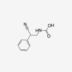 N#CC(CNC(=O)O)c1ccccc1